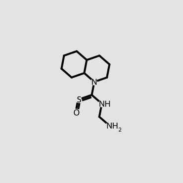 NCNC(=S=O)N1CCCC2CCCCC21